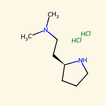 CN(C)CC[C@@H]1CCCN1.Cl.Cl